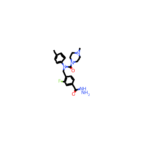 Cc1ccc(N(Cc2ccc(C(=O)NN)cc2F)C(=O)N2CCN(C)CC2)cc1